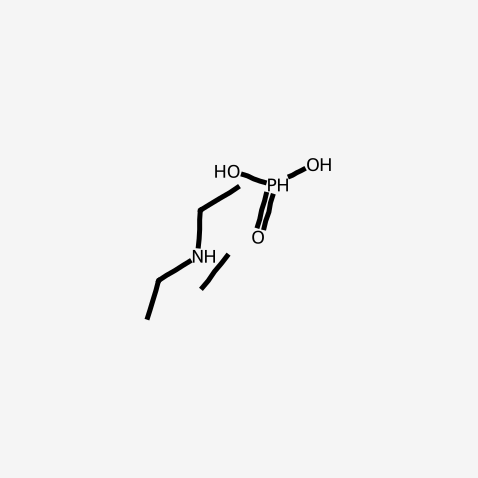 CC.CCNCC.O=[PH](O)O